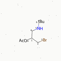 CC(=O)OC(CBr)CNC(C)(C)C